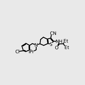 CCC(CC)C(=O)Nc1sc2c(c1C#N)CCC(N(Cc1ccc(Cl)cc1)CC(C)C)C2